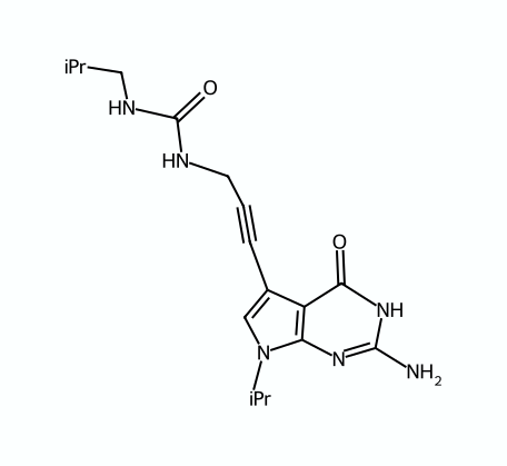 CC(C)CNC(=O)NCC#Cc1cn(C(C)C)c2nc(N)[nH]c(=O)c12